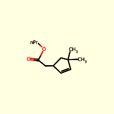 CCCOC(=O)CC1C=CC(C)(C)C1